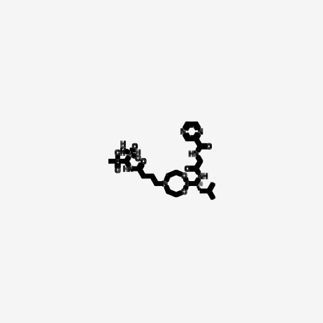 CC(C)C[C@@H](NC(=O)CNC(=O)c1cnccn1)B1OCCN(CCCC(=O)NC(P(C)(=O)O)P(=O)(O)O)CCO1